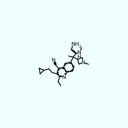 CCc1nc2ccc(C(C)(/C(=C/N)NC)C3CN(C)C3)cc2c(C#N)c1CCC1CC1